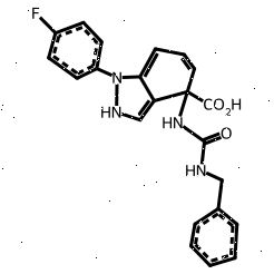 O=C(NCc1ccccc1)NC1(C(=O)O)C=CC=C2C1=CNN2c1ccc(F)cc1